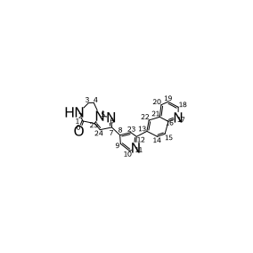 O=C1NCCn2nc(-c3ccnc(-c4ccc5ncccc5c4)c3)cc21